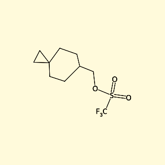 O=S(=O)(OCC1CCC2(CC1)CC2)C(F)(F)F